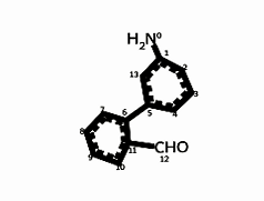 Nc1cccc(-c2ccccc2C=O)c1